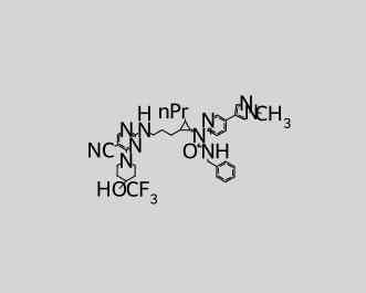 CCCC1/C(=[N+](/C(=O)NCc2ccccc2)c2ccc(-c3cnn(C)c3)cn2)C1CCCNc1ncc(C#N)c(N2CCC(O)(C(F)(F)F)CC2)n1